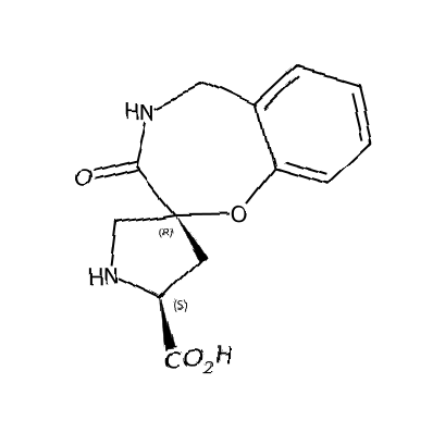 O=C(O)[C@@H]1C[C@]2(CN1)Oc1ccccc1CNC2=O